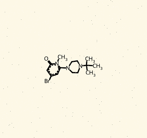 Cn1c(N2CCN(C(C)(C)C)CC2)cc(Br)cc1=O